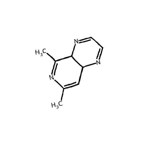 CC1=CC2N=CC=NC2C(C)=N1